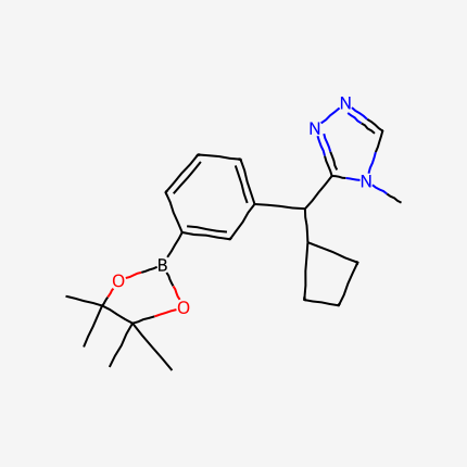 Cn1cnnc1C(c1cccc(B2OC(C)(C)C(C)(C)O2)c1)C1CCC1